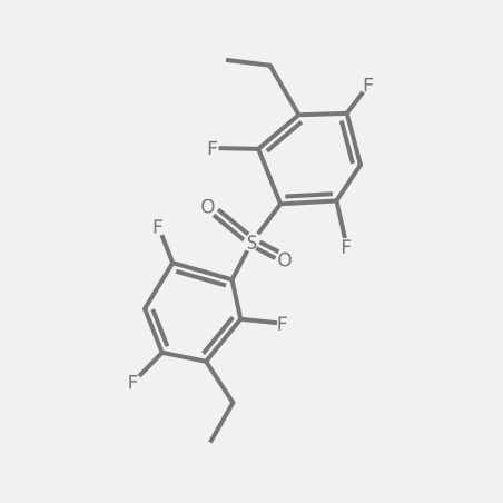 CCc1c(F)cc(F)c(S(=O)(=O)c2c(F)cc(F)c(CC)c2F)c1F